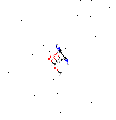 CC(C)O.CC(C)O.CC(C)O.CC(C)O.N#CC#N